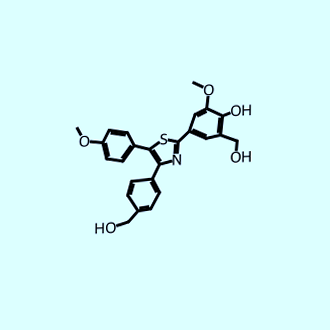 COc1ccc(-c2sc(-c3cc(CO)c(O)c(OC)c3)nc2-c2ccc(CO)cc2)cc1